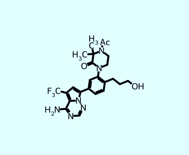 CC(=O)N1CCN(c2cc(-c3cc(C(F)(F)F)c4c(N)ncnn34)ccc2CCCO)C(=O)C1(C)C